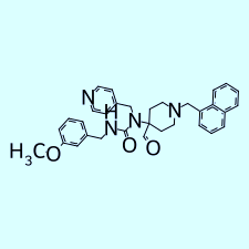 COc1cccc(CNC(=O)N(Cc2ccncc2)C2(C=O)CCN(Cc3cccc4ccccc34)CC2)c1